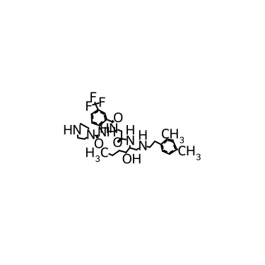 CCCC(O)C(CNCCc1ccc(C)cc1C)NC(=O)CNC(=O)c1cc(C(F)(F)F)ccc1NC(=O)N1CCNCC1